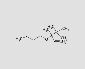 C=C[Si](C)(OCCCC)C(C)(C)C